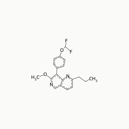 CCCc1ccc2cnc(OC)c(-c3ccc(OC(F)F)cc3)c2n1